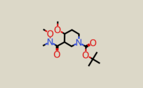 COC1CCN(C(=O)OC(C)(C)C)CC1C(=O)N(C)OC